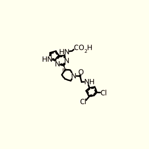 O=C(O)CNc1nc([C@@H]2CCCN(C(=O)CNc3cc(Cl)cc(Cl)c3)C2)nc2[nH]ccc12